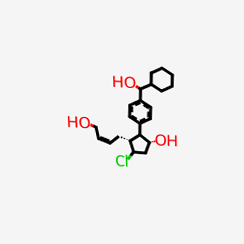 OC/C=C\C[C@H]1C(Cl)C[C@@H](O)C1c1ccc(C(O)C2CCCCC2)cc1